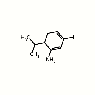 CC(C)C1CC=C(I)C=C1N